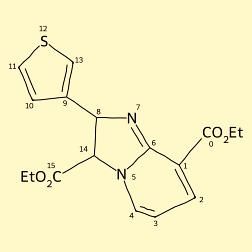 CCOC(=O)C1=CC=CN2C1=NC(c1ccsc1)C2C(=O)OCC